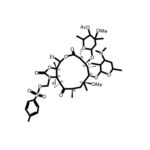 CCC1OC(=O)[C@H](C)[C@@H](OC2CC(C)(OC)C(OC(C)=O)C(C)O2)[C@H](C)[C@@H](OC2OC(C)CC(N(C)C)C2C)[C@@](C)(OC)C[C@@H](C)C(=O)[C@H](C)[C@H]2N(COS(=O)(=O)c3ccc(C)cc3)C(=O)O[C@]12C